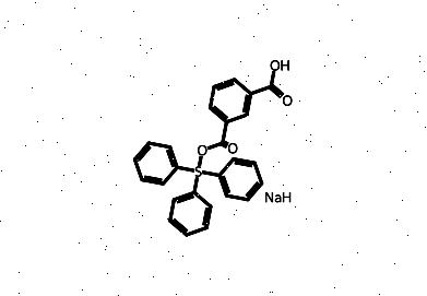 O=C(O)c1cccc(C(=O)OS(c2ccccc2)(c2ccccc2)c2ccccc2)c1.[NaH]